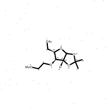 COCCO[C@H]1[C@@H](COC(C)=O)OC2OC(C)(C)O[C@@H]21